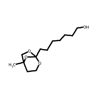 CC12CCOC(CCCCCCCO)(OC1)O2